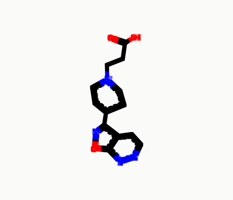 O=C(O)CC[n+]1ccc(-c2noc3nnccc23)cc1